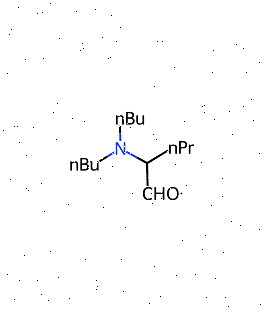 CCCCN(CCCC)C([C]=O)CCC